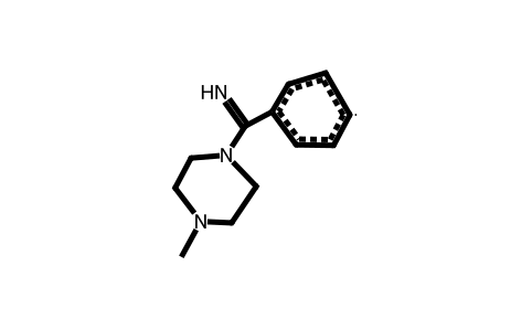 CN1CCN(C(=N)c2cc[c]cc2)CC1